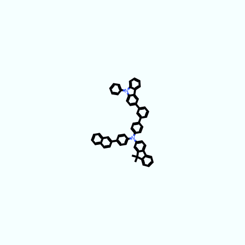 CC1(C)c2ccccc2-c2ccc(N(c3ccc(-c4cccc(-c5ccc6c(c5)c5ccccc5n6-c5ccccc5)c4)cc3)c3ccc(-c4ccc5ccccc5c4)cc3)cc21